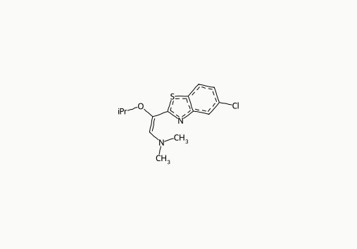 CC(C)O/C(=C/N(C)C)c1nc2cc(Cl)ccc2s1